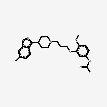 COc1ccc(NC(C)=O)cc1OCCCN1CCC(c2onc3cc(F)ccc23)CC1